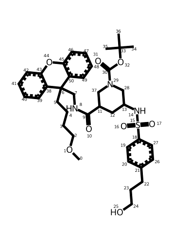 COCCCCC1(CNC(=O)C2CC(NS(=O)(=O)c3ccc(CCCO)cc3)CN(C(=O)OC(C)(C)C)C2)c2ccccc2Oc2ccccc21